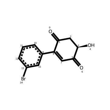 O=C1C[C@@H](O)C(=O)C=C1c1cccc(Br)c1